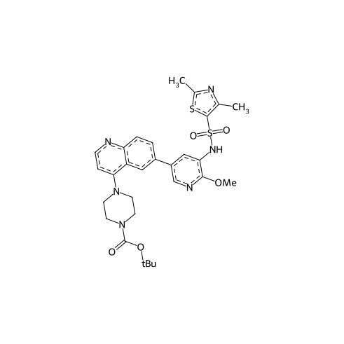 COc1ncc(-c2ccc3nccc(N4CCN(C(=O)OC(C)(C)C)CC4)c3c2)cc1NS(=O)(=O)c1sc(C)nc1C